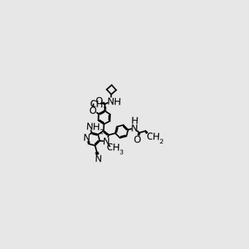 C=CC(=O)Nc1ccc(-c2c(-c3ccc(C(=O)NC4CCC4)c(OC)c3)c3c(N)ncc(C#N)c3n2C)cc1